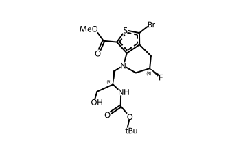 COC(=O)c1sc(Br)c2c1N(C[C@H](CO)NC(=O)OC(C)(C)C)C[C@H](F)C2